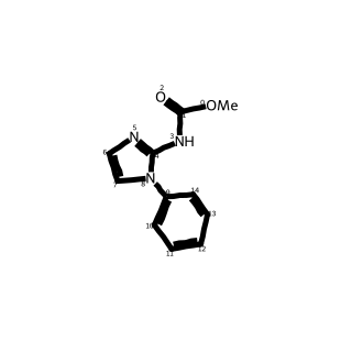 COC(=O)Nc1nccn1-c1ccccc1